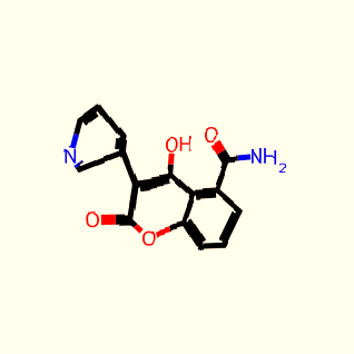 NC(=O)c1cccc2oc(=O)c(-c3cccnc3)c(O)c12